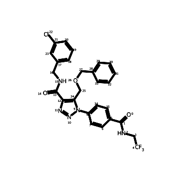 O=C(NCC(F)(F)F)c1ccc(-n2nnc(C(=O)NCc3cccc(Cl)c3)c2COCc2ccccc2)cc1